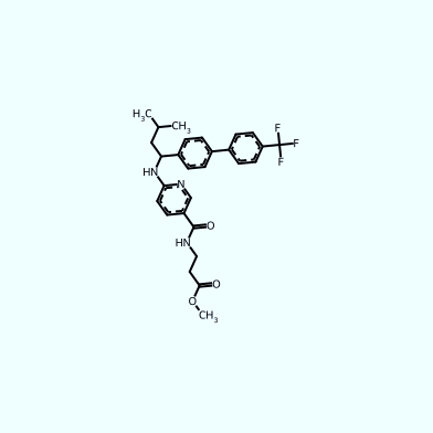 COC(=O)CCNC(=O)c1ccc(NC(CC(C)C)c2ccc(-c3ccc(C(F)(F)F)cc3)cc2)nc1